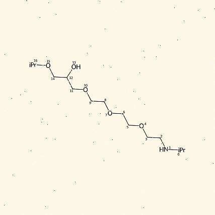 CC(C)NCCOCCOCCOCC(O)COC(C)C